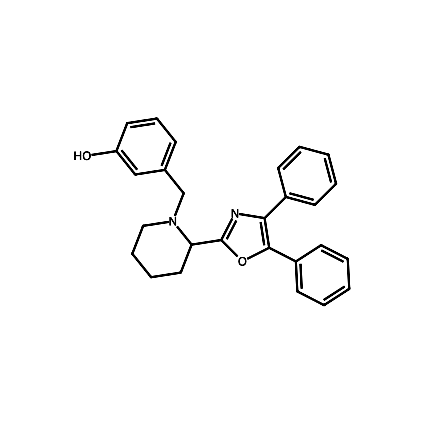 Oc1cccc(CN2CCCCC2c2nc(-c3ccccc3)c(-c3ccccc3)o2)c1